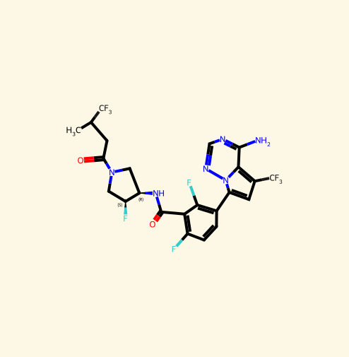 CC(CC(=O)N1C[C@H](F)[C@H](NC(=O)c2c(F)ccc(-c3cc(C(F)(F)F)c4c(N)ncnn34)c2F)C1)C(F)(F)F